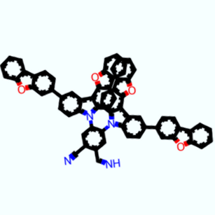 N#Cc1cc(-n2c3ccc(-c4ccc5c(c4)oc4ccccc45)cc3c3c4oc5ccccc5c4ccc32)c(-n2c3ccc(-c4ccc5c(c4)oc4ccccc45)cc3c3c4oc5ccccc5c4ccc32)cc1C=N